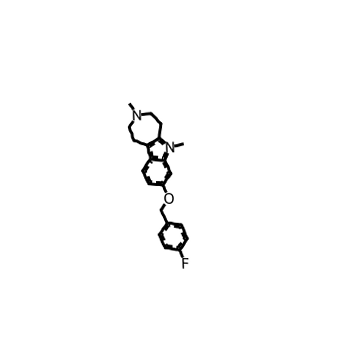 CN1CCc2c(n(C)c3cc(OCc4ccc(F)cc4)ccc23)CC1